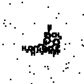 CNC/C=C/C(=O)N1Cc2sc(C#N)c(C)c2[C@H](c2cccc(F)c2-c2cn(C)nc2C(F)(F)F)C1